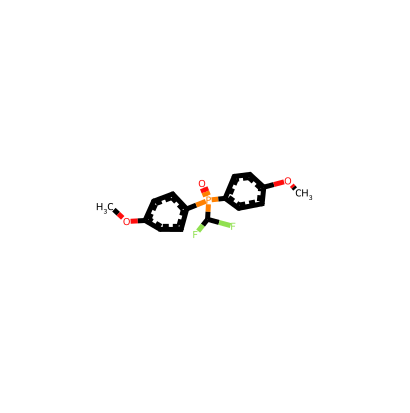 COc1ccc(P(=O)(c2ccc(OC)cc2)C(F)F)cc1